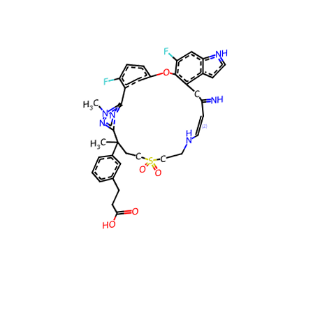 Cn1nc2nc1-c1cc(ccc1F)Oc1c(F)cc3[nH]ccc3c1CC(=N)/C=C\NCCS(=O)(=O)CCC2(C)c1cccc(CCC(=O)O)c1